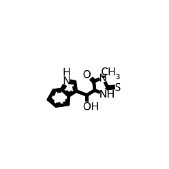 CN1C(=O)C(C(O)c2c[nH]c3ccccc23)NC1=S